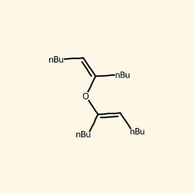 CCCCC=C(CCCC)OC(=CCCCC)CCCC